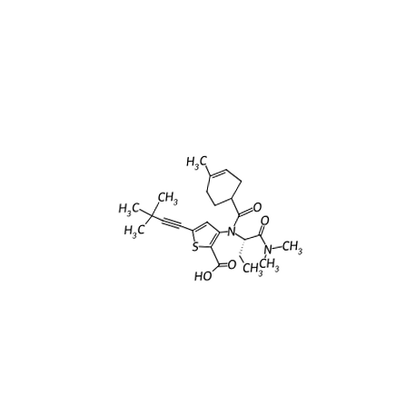 CC[C@@H](C(=O)N(C)C)N(C(=O)C1CC=C(C)CC1)c1cc(C#CC(C)(C)C)sc1C(=O)O